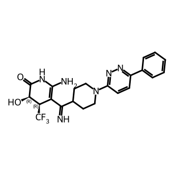 N=C(C1=C(N)NC(=O)[C@H](O)[C@@H]1C(F)(F)F)C1CCN(c2ccc(-c3ccccc3)nn2)CC1